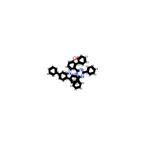 c1ccc(-c2ccc3c4ccccc4n(-c4ccc5oc6ccccc6c5c4-c4nc(-c5ccccc5)nc(-c5ccccc5)n4)c3c2)cc1